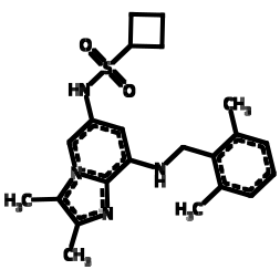 Cc1cccc(C)c1CNc1cc(NS(=O)(=O)C2CCC2)cn2c(C)c(C)nc12